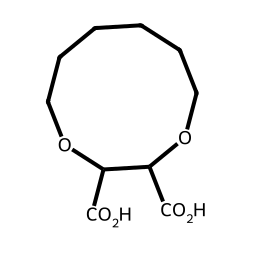 O=C(O)C1OCCCCCCOC1C(=O)O